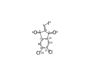 O=C1C(=CI)C(=O)c2cc(Cl)c(Cl)cc21